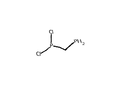 PCP(Cl)Cl